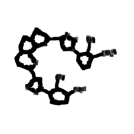 O=C(O)c1cccc(-n2cc(-c3ccc4ccc5ccc(-c6cn(-c7cccc(C(=O)O)c7O)nn6)nc5c4n3)nn2)c1O